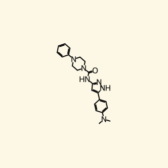 CN(C)c1ccc(-c2cc(NC(=O)N3CCN(c4ccccc4)CC3)n[nH]2)cc1